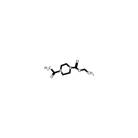 [CH2]C(=O)N1CCN(C(=O)OCC)CC1